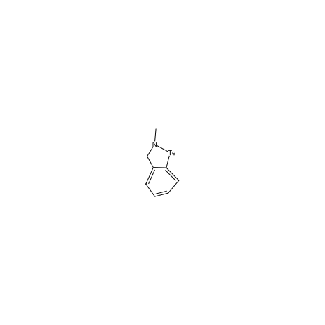 CN1Cc2ccccc2[Te]1